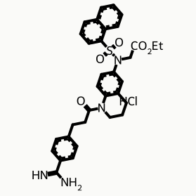 CCOC(=O)CN(c1ccc2c(c1)CCCN2C(=O)CCc1ccc(C(=N)N)cc1)S(=O)(=O)c1cccc2ccccc12.Cl